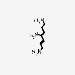 NCC=CC(N)CCCN